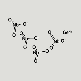 [Ge+4].[O]=[Nb](=[O])[O-].[O]=[Nb](=[O])[O-].[O]=[Nb](=[O])[O-].[O]=[Nb](=[O])[O-]